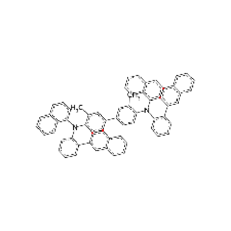 Cc1cc(-c2ccc(N(c3ccccc3-c3ccc4ccccc4c3)c3cccc4ccccc34)c(C)c2)ccc1N(c1ccccc1-c1ccc2ccccc2c1)c1cccc2ccccc12